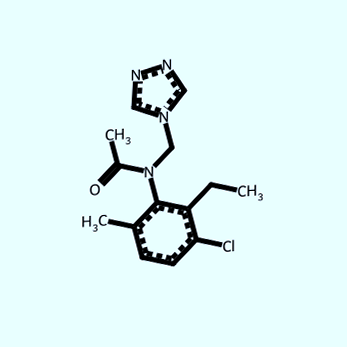 CCc1c(Cl)ccc(C)c1N(Cn1cnnc1)C(C)=O